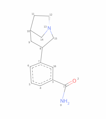 NC(=O)c1cccc(C2CC3CC[N@@](C3)C2)c1